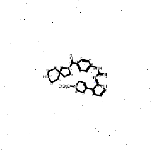 CCOC(=O)N1CC=C(c2ccc[nH]/c2=N\C(=N)Nc2ccc(C(=O)N3CCC4(CCNCC4)C3)cc2)CC1